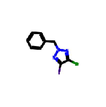 Brc1nn(Cc2ccccc2)nc1I